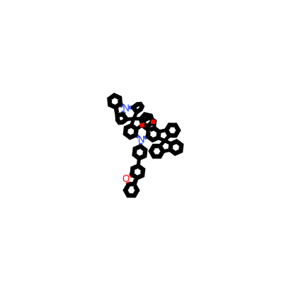 c1ccc2c(c1)-c1ccccc1C21c2ccccc2-c2c1cc(N(c1ccc(-c3ccc4c(c3)oc3ccccc34)cc1)c1cccc3c1-c1ccccc1C31c3ccccc3-n3c4ccccc4c4cccc1c43)c1ccccc21